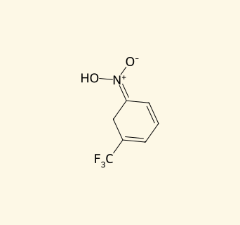 [O-][N+](O)=C1C=CC=C(C(F)(F)F)C1